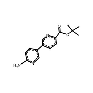 CC(C)(C)OC(=O)c1ccc(-c2ccc(N)nc2)cn1